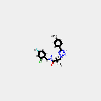 CCCc1ccc(-c2nnn(CC(C)(C)C(=O)NCc3ccc(F)cc3Cl)n2)cc1